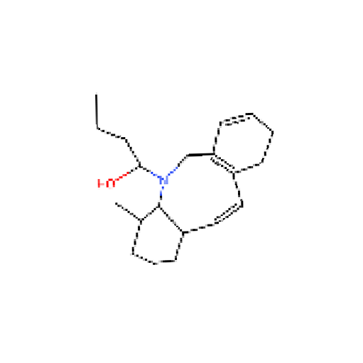 CCCC(O)N1CC2=C(/C=C\C3CCCC(C)C31)CCC=C2